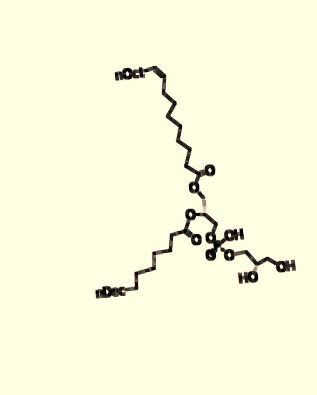 CCCCCCCC/C=C\CCCCCCCC(=O)OC[C@H](COP(=O)(O)OC[C@@H](O)CO)OC(=O)CCCCCCCCCCCCCCCC